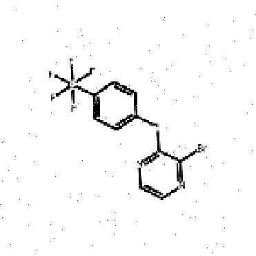 FS(F)(F)(F)(F)c1ccc(Sc2nccnc2Br)cc1